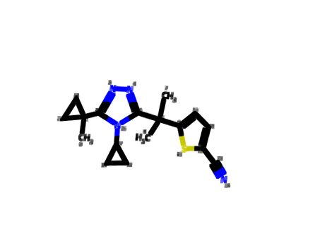 CC1(c2nnc(C(C)(C)c3ccc(C#N)s3)n2C2CC2)CC1